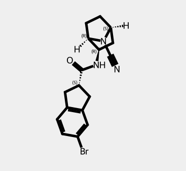 N#CN1[C@H]2CC[C@@H]1[C@H](NC(=O)[C@H]1Cc3ccc(Br)cc3C1)C2